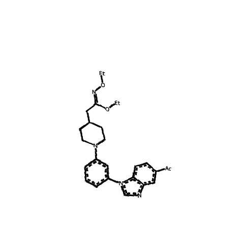 CCON=C(CC1CCN(c2cccc(-n3cnc4cc(C(C)=O)ccc43)c2)CC1)OCC